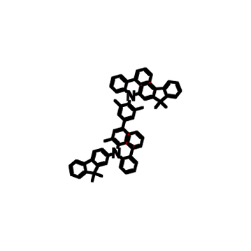 Cc1cc(-c2cc(C)c(N(c3ccc4c(c3)C(C)(C)c3ccccc3-4)c3ccccc3-c3ccccc3)c(C)c2)cc(C)c1N(c1ccc2c(c1)C(C)(C)c1ccccc1-2)c1ccccc1-c1ccccc1